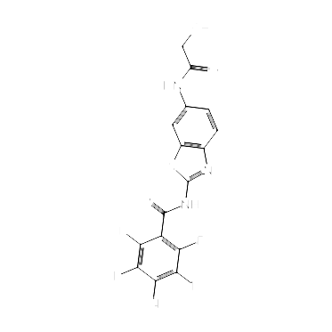 CCC(=O)Nc1ccc2nc(NC(=O)c3c(F)c(F)c(S)c(F)c3F)sc2c1